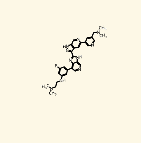 CN(C)CCNc1cc(F)cc(-c2cncc3[nH]c(-c4n[nH]c5cnc(-c6cncc(CN(C)C)c6)cc45)nc23)c1